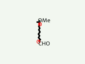 COC(C)OCCCCCCCCO[C]=O